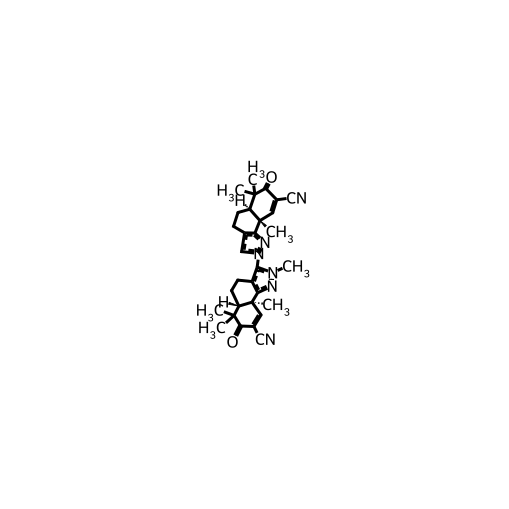 Cn1nc2c(c1-n1cc3c(n1)[C@@]1(C)C=C(C#N)C(=O)C(C)(C)[C@@H]1CC3)CC[C@H]1C(C)(C)C(=O)C(C#N)=C[C@]21C